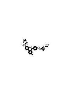 Cc1ccc2c(c1)C(c1ccc(OCc3cn(CC[18F])nn3)cc1)N(C)c1cc(NC(=O)OC(C)(C)C)ccc1-2